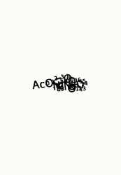 CC(=O)Oc1ccc(C(=O)NS(=O)(=O)c2ccccc2)c(C)n1